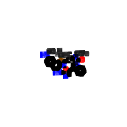 CON(CC=O)C(=O)n1cc(-c2cnc(NC(Cc3ccc(NS(=O)(=O)O)cc3)c3csc(C)n3)o2)c2ccccc21